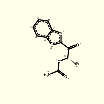 CC(C)[C@H](OC(N)=O)C(=O)c1nc2ccccc2o1